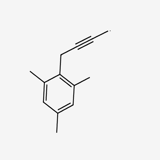 [CH2]C#CCc1c(C)cc(C)cc1C